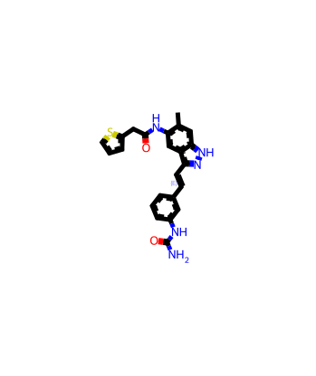 Cc1cc2[nH]nc(/C=C/c3cccc(NC(N)=O)c3)c2cc1NC(=O)Cc1cccs1